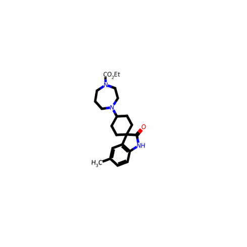 CCOC(=O)N1CCCN(C2CCC3(CC2)C(=O)Nc2ccc(C)cc23)CC1